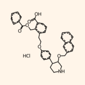 Cl.O=C(OCc1c(CCOc2ccc(C3CCNCC3OCc3ccc4ccccc4c3)cc2)cccc1C(=O)O)c1ccccc1